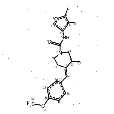 Cc1onc(NC(=O)N2CCC(=Cc3ccc(OC(F)(F)F)cc3)C(C)C2)c1C